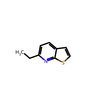 CCc1ccc2ccsc2n1